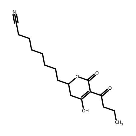 CCCC(=O)C1=C(O)CC(CCCCCCCC#N)OC1=O